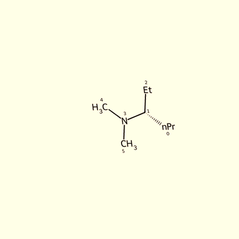 CCC[C@@H](CC)N(C)C